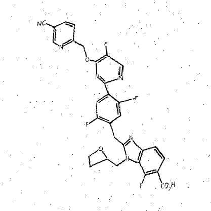 N#Cc1ccc(COc2nc(-c3cc(F)c(Cc4nc5ccc(C(=O)O)c(F)c5n4CC4CCO4)cc3F)ncc2F)nc1